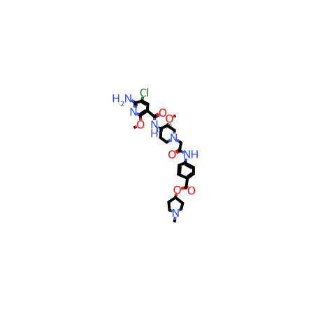 COc1nc(N)c(Cl)cc1C(=O)N[C@H]1CCN(CC(=O)Nc2ccc(C(=O)OC3CCN(C)CC3)cc2)C[C@H]1OC